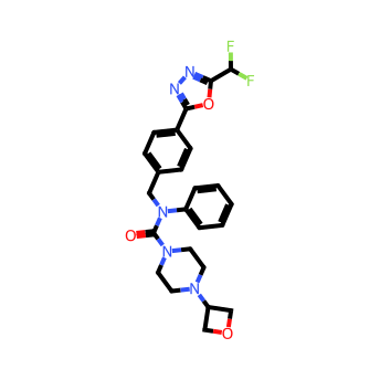 O=C(N1CCN(C2COC2)CC1)N(Cc1ccc(-c2nnc(C(F)F)o2)cc1)c1ccccc1